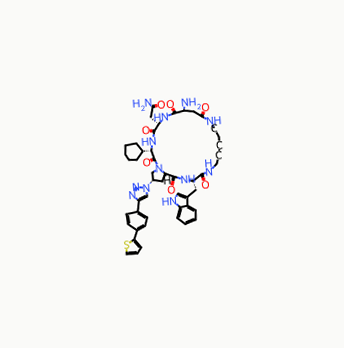 NC(=O)C[C@@H]1NC(=O)[C@@H](N)CC(=O)NCCCCCNC(=O)[C@H](Cc2c[nH]c3ccccc23)NC(=O)[C@@H]2C[C@H](n3cc(-c4ccc(-c5cccs5)cc4)nn3)CN2C(=O)[C@H](C2CCCCC2)NC1=O